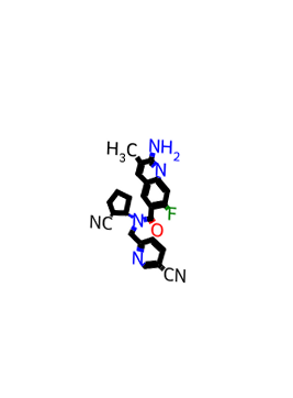 Cc1cc2cc(C(=O)N(Cc3ccc(C#N)cn3)[C@@H]3CCC[C@@H]3C#N)c(F)cc2nc1N